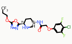 O=C(COc1cc(F)c(Cl)c(F)c1)N[Si@H]1CC[C@H](c2nnc(OCCC(F)(F)F)o2)NC1